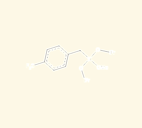 CO[Si](Cc1ccc(C(F)(F)F)cc1)(OC(C)C)OC(C)C